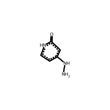 NNc1cc[nH]c(=O)c1